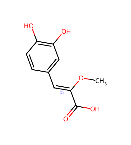 CO/C(=C\c1ccc(O)c(O)c1)C(=O)O